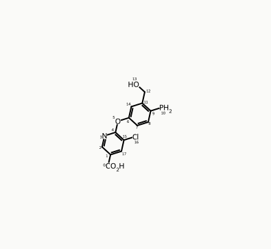 O=C(O)c1cnc(Oc2ccc(P)c(CO)c2)c(Cl)c1